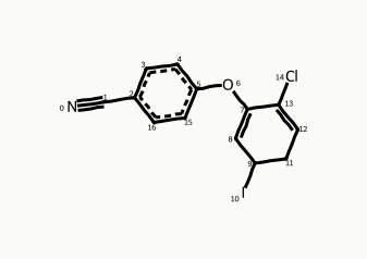 N#Cc1ccc(OC2=CC(I)CC=C2Cl)cc1